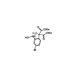 COC(=O)C(C)(C(=O)OC)c1ccc(Br)cc1NO